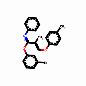 CCc1cccc(O/C(=N/c2ccccc2)C(C)=COc2ccc(C)cc2)c1